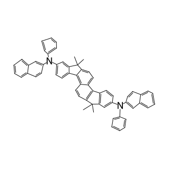 CC1(C)c2cc(N(c3ccccc3)c3ccc4ccccc4c3)ccc2-c2c1ccc1c3c(ccc21)C(C)(C)c1cc(N(c2ccccc2)c2ccc4ccccc4c2)ccc1-3